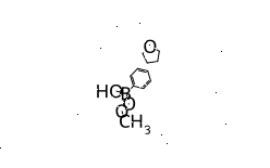 C1CCOC1.COOB(O)c1ccccc1